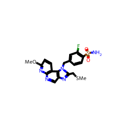 COc1ccc2c(ncc3nc(CSC)n(Cc4ccc(S(N)(=O)=O)c(F)c4)c32)n1